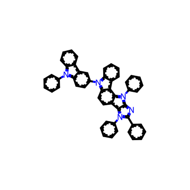 c1ccc(-c2nc3c(c4ccc5c(c6ccccc6n5-c5ccc6c(c5)c5ccccc5n6-c5ccccc5)c4n3-c3ccccc3)n2-c2ccccc2)cc1